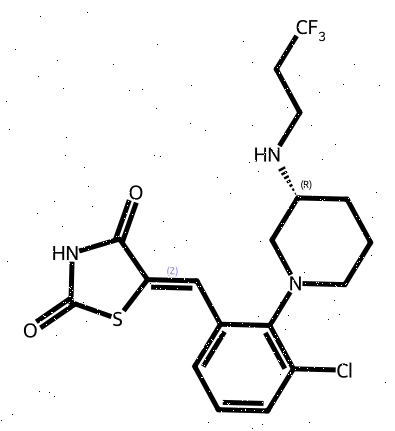 O=C1NC(=O)/C(=C/c2cccc(Cl)c2N2CCC[C@@H](NCCC(F)(F)F)C2)S1